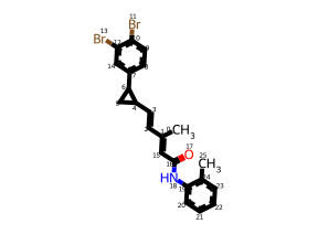 CC(/C=C/C1CC1c1ccc(Br)c(Br)c1)=C\C(=O)Nc1ccccc1C